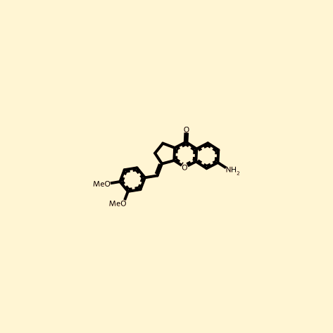 COc1ccc(C=C2CCc3c2oc2cc(N)ccc2c3=O)cc1OC